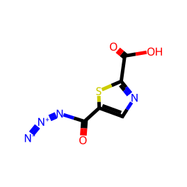 [N-]=[N+]=NC(=O)c1cnc(C(=O)O)s1